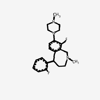 CN1CCN(c2ccc3c(c2F)CN(C)CCC3c2ccccc2F)CC1